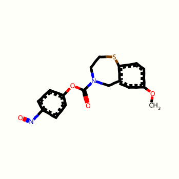 COc1ccc2c(c1)CN(C(=O)Oc1ccc(N=O)cc1)CCS2